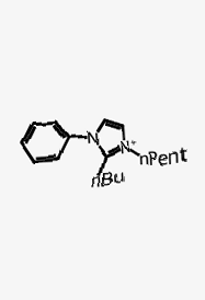 CCCCC[n+]1ccn(-c2ccccc2)c1CCCC